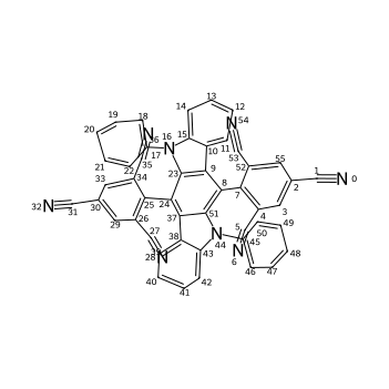 N#Cc1cc(C#N)c(-c2c3c4ccccc4n(-c4ccccc4)c3c(-c3c(C#N)cc(C#N)cc3C#N)c3c4ccccc4n(-c4ccccc4)c23)c(C#N)c1